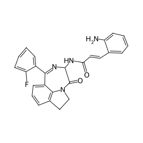 Nc1ccccc1/C=C/C(=O)NC1N=C(c2ccccc2F)c2cccc3c2N(CC3)C1=O